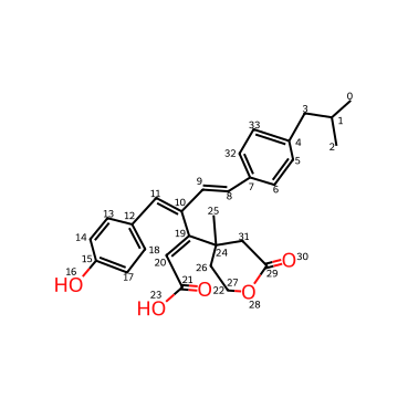 CC(C)Cc1ccc(C=CC(=Cc2ccc(O)cc2)C(=CC(=O)O)C2(C)CCOC(=O)C2)cc1